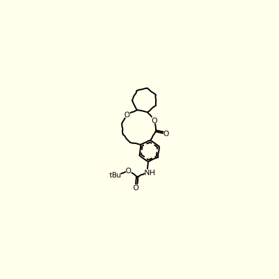 CC(C)(C)OC(=O)Nc1ccc2c(c1)CCCOC1CCCCCC1OC2=O